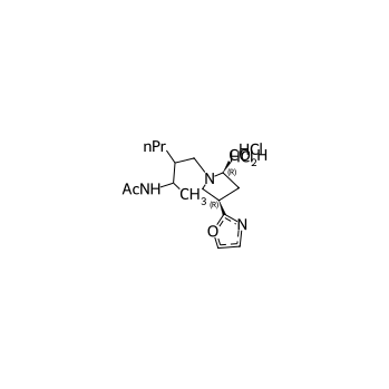 CCCC(CN1C[C@H](c2ncco2)C[C@@H]1C(=O)O)C(C)NC(C)=O.Cl.Cl